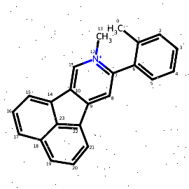 Cc1ccccc1-c1cc2c(c[n+]1C)-c1cccc3cccc-2c13